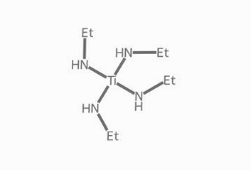 CC[NH][Ti]([NH]CC)([NH]CC)[NH]CC